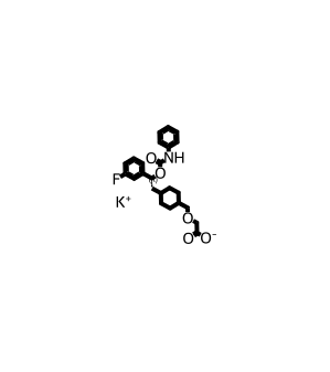 O=C([O-])COCC1CCC(C[C@@H](OC(=O)Nc2ccccc2)c2cccc(F)c2)CC1.[K+]